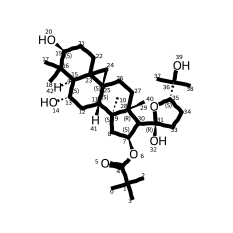 CC(C)(C)C(=O)O[C@H]1C[C@@]2(C)[C@@H]3C[C@H](O)[C@H]4C(C)(C)[C@@H](O)CCC45C[C@@]35CC[C@]2(C)C1[C@@]1(O)CC[C@@H](C(C)(C)O)O1